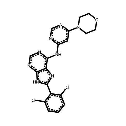 Clc1cccc(Cl)c1-c1nc2c(Nc3cc(N4CCOCC4)ncn3)ncnc2[nH]1